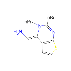 CCCCC1=Nc2sccc2C(=CN)N1CCC